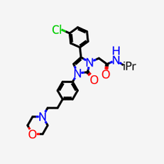 CC(C)NC(=O)Cn1c(-c2cccc(Cl)c2)cn(-c2ccc(CCN3CCOCC3)cc2)c1=O